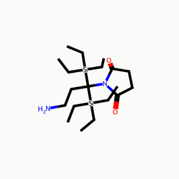 CC[Si](CC)(CC)C(CCN)(N1C(=O)CCC1=O)[Si](CC)(CC)CC